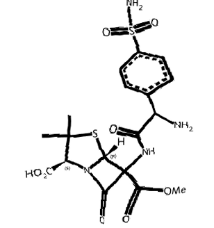 COC(=O)C1(NC(=O)C(N)c2ccc(S(N)(=O)=O)cc2)C(=O)N2[C@@H](C(=O)O)C(C)(C)S[C@@H]21